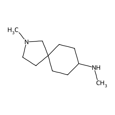 CNC1CCC2(CC1)CCN(C)C2